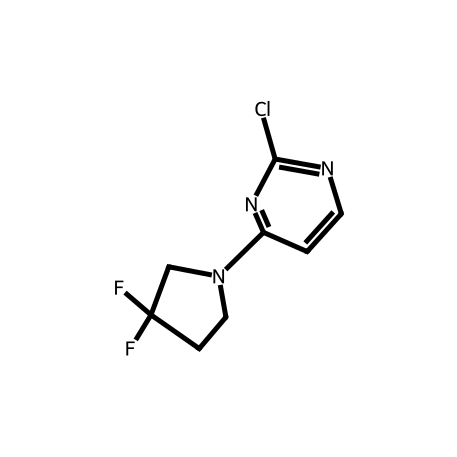 FC1(F)CCN(c2ccnc(Cl)n2)C1